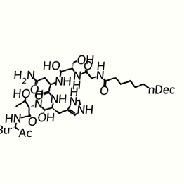 CCCCCCCCCCCCCCCC(=O)NCC(=O)N[C@@H](CO)[C@H](O)NC(CC(N)=O)C(=O)N[C@@H](CC1=CNCN1)[C@H](O)N[C@H](C(=O)N[C@@H](CCCC)C(C)=O)C(C)O